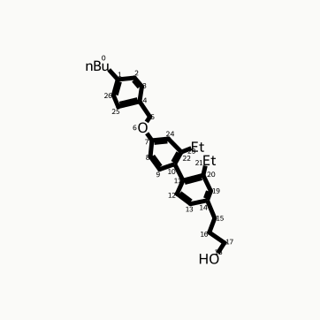 CCCCc1ccc(COc2ccc(-c3ccc(CCCO)cc3CC)c(CC)c2)cc1